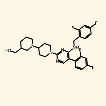 OCC1CCCN(C2CCN(c3ncc(-c4ccc(F)cc4F)c(NCc4ccc(F)cc4F)n3)CC2)C1